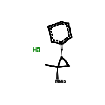 CN[C@]1(C)C[C@H]1c1ccccc1.Cl